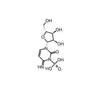 N=c1ccn([C@@H]2O[C@H](CO)[C@@H](O)[C@H]2O)c(=O)n1P(=O)(O)O